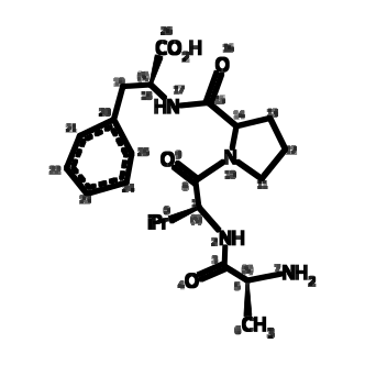 CC(C)[C@H](NC(=O)[C@H](C)N)C(=O)N1CCCC1C(=O)N[C@@H](Cc1ccccc1)C(=O)O